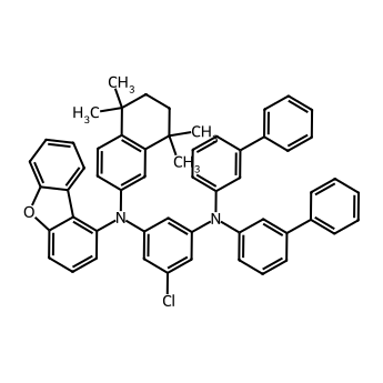 CC1(C)CCC(C)(C)c2cc(N(c3cc(Cl)cc(N(c4cccc(-c5ccccc5)c4)c4cccc(-c5ccccc5)c4)c3)c3cccc4oc5ccccc5c34)ccc21